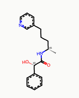 C[C@@H](CCCc1cccnc1)NC(=O)[C@@H](O)c1ccccc1